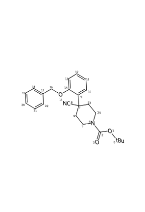 CC(C)(C)OC(=O)N1CCC(C#N)(c2ccccc2OCc2ccccc2)CC1